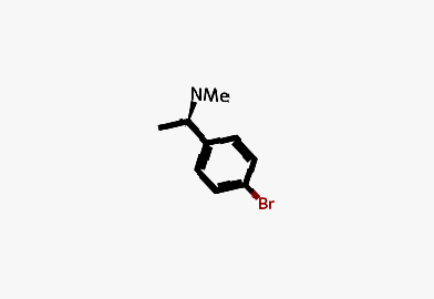 [CH2-][NH2+][C@H](C)c1ccc(Br)cc1